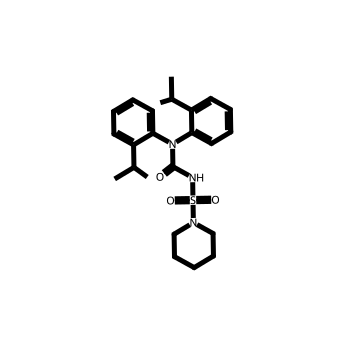 CC(C)c1ccccc1N(C(=O)NS(=O)(=O)N1CCCCC1)c1ccccc1C(C)C